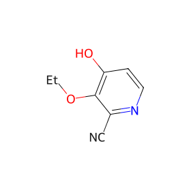 CCOc1c(O)ccnc1C#N